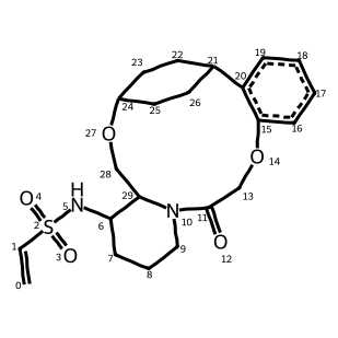 C=CS(=O)(=O)NC1CCCN2C(=O)COc3ccccc3C3CCC(CC3)OCC12